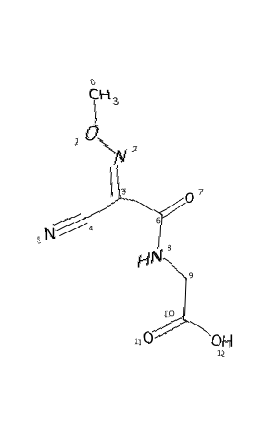 CO/N=C(\C#N)C(=O)NCC(=O)O